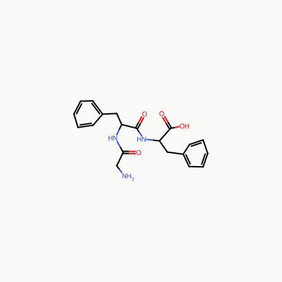 NCC(=O)NC(Cc1ccccc1)C(=O)NC(Cc1ccccc1)C(=O)O